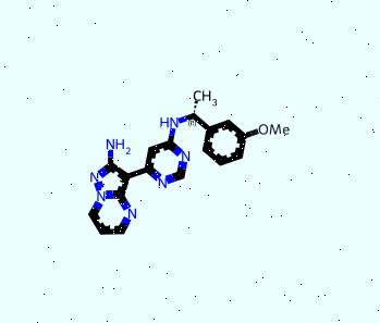 COc1cccc([C@@H](C)Nc2cc(-c3c(N)nn4cccnc34)ncn2)c1